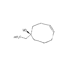 O=C(O)C[C@]1(O)CC/C=C\CCC1